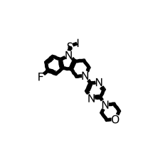 Fc1ccc2c(c1)c1c(n2SI)CCN(c2cnc(N3CCOCC3)cn2)C1